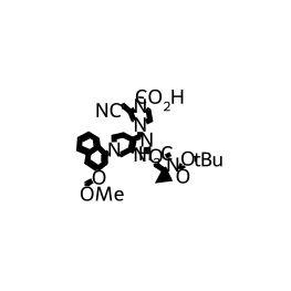 COCOc1cc(N2CCc3c(nc(OCC4(N(C)C(=O)OC(C)(C)C)CC4)nc3N3CCN(C(=O)O)C(CC#N)C3)C2)c2ccccc2c1